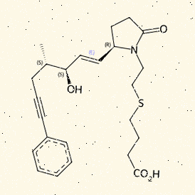 C[C@@H](CC#Cc1ccccc1)[C@H](O)/C=C/[C@H]1CCC(=O)N1CCSCCCC(=O)O